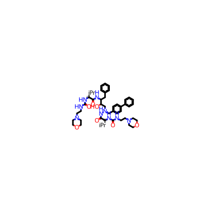 CC(C)[C@H](NC(=O)NCCN1CCOCC1)C(=O)NC(Cc1ccccc1)C(O)CN(Cc1ccc(-c2ccccc2)cc1)NC(=O)[C@@H](NC(=O)NCCN1CCOCC1)C(C)C